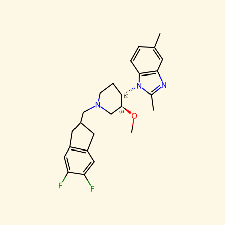 CO[C@H]1CN(CC2Cc3cc(F)c(F)cc3C2)CC[C@@H]1n1c(C)nc2cc(C)ccc21